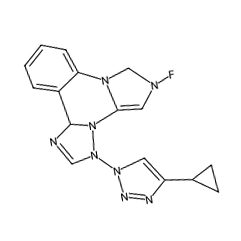 FN1C=C2N(C1)c1ccccc1C1N=CN(n3cc(C4CC4)nn3)N21